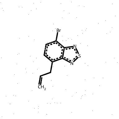 C=CCc1ccc(Br)c2nsnc12